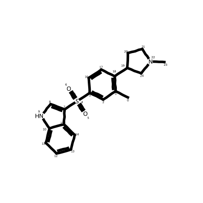 Cc1cc(S(=O)(=O)c2c[nH]c3ccccc23)ccc1C1CCN(C)C1